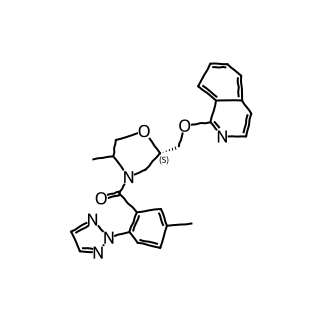 Cc1ccc(-n2nccn2)c(C(=O)N2C[C@@H](COc3nccc4ccccc34)OCC2C)c1